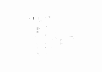 CCC(C)[C@H](NC(C)=O)C(=O)N[C@H]1CCc2cccc3c2N(C1=O)[C@H](C(=O)NCC#N)C3